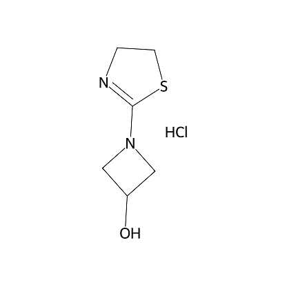 Cl.OC1CN(C2=NCCS2)C1